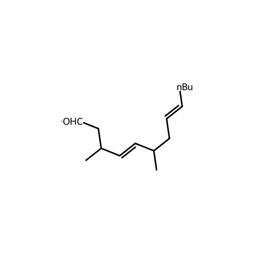 CCCC/C=C/CC(C)/C=C/C(C)C[C]=O